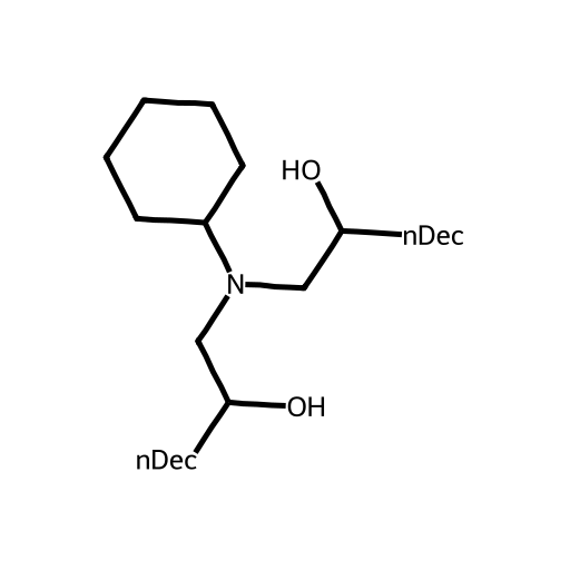 CCCCCCCCCCC(O)CN(CC(O)CCCCCCCCCC)C1CCCCC1